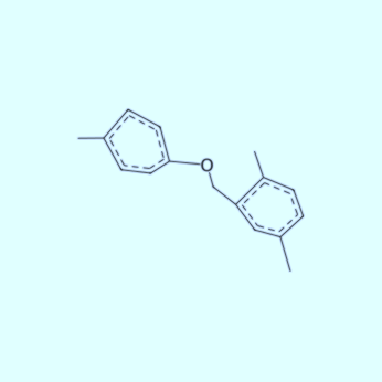 Cc1ccc(OCc2cc(C)ccc2C)cc1